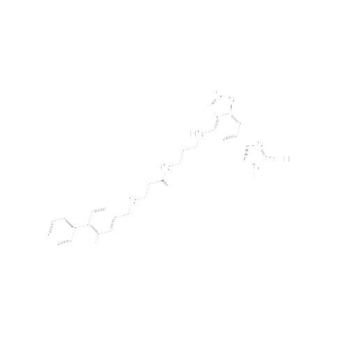 Cc1nc(-c2cc(NCCCNC(=O)CCNCc3ccc(-c4ccccc4)c(Cl)c3)c3cn[nH]c3c2)c[nH]1